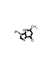 Cc1cc(=O)c2ncn(C(C)C)c2[nH]1